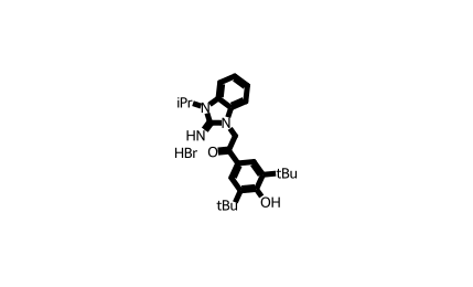 Br.CC(C)n1c(=N)n(CC(=O)c2cc(C(C)(C)C)c(O)c(C(C)(C)C)c2)c2ccccc21